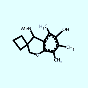 CNC1c2c(C)c(O)c(C)c(C)c2OCC12CCC2